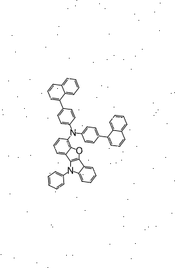 c1ccc(-n2c3ccccc3c3oc4c(N(c5ccc(-c6cccc7ccccc67)cc5)c5ccc(-c6cccc7ccccc67)cc5)cccc4c32)cc1